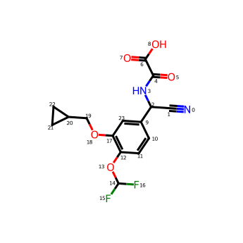 N#CC(NC(=O)C(=O)O)c1ccc(OC(F)F)c(OCC2CC2)c1